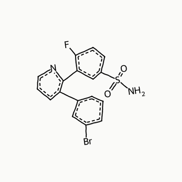 NS(=O)(=O)c1ccc(F)c(-c2ncccc2-c2cccc(Br)c2)c1